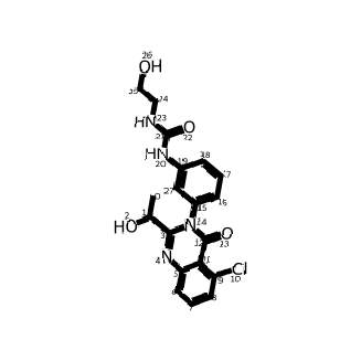 CC(O)c1nc2cccc(Cl)c2c(=O)n1-c1cccc(NC(=O)NCCO)c1